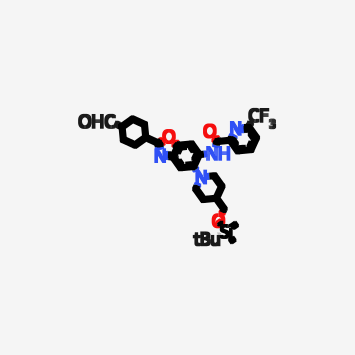 CC(C)(C)[Si](C)(C)OCC1CCN(c2cc3nc(C4CCC(C=O)CC4)oc3cc2NC(=O)c2cccc(C(F)(F)F)n2)CC1